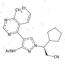 CC/C=C\c1c(C)ncnc1-c1cn([C@H](CC#N)C2CCCC2)nc1NC(C)=O